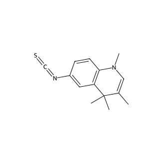 CC1=CN(C)c2ccc(N=C=S)cc2C1(C)C